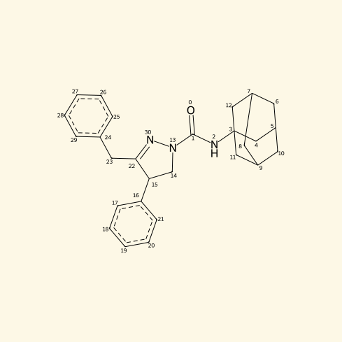 O=C(NC12CC3CC(CC(C3)C1)C2)N1CC(c2ccccc2)C(Cc2ccccc2)=N1